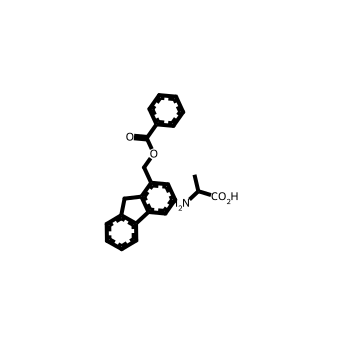 CC(N)C(=O)O.O=C(OCc1cccc2c1Cc1ccccc1-2)c1ccccc1